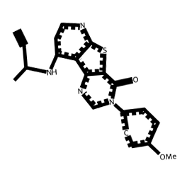 C#CC(C)Nc1ccnc2sc3c(=O)n(-c4ccc(OC)cc4)cnc3c12